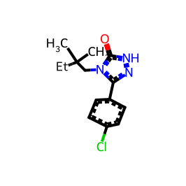 CCC(C)(C)Cn1c(-c2ccc(Cl)cc2)n[nH]c1=O